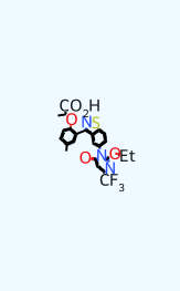 CCOc1nc(C(F)(F)F)cc(=O)n1-c1ccc2snc(-c3cc(C)ccc3OC(C)C(=O)O)c2c1